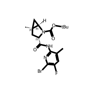 Cc1cc(F)c(Br)nc1NC(=O)[C@@H]1C[C@@]2(C)C[C@H]2N1C(=O)OC(C)(C)C